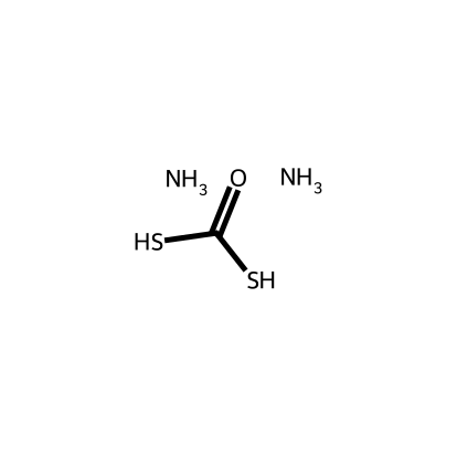 N.N.O=C(S)S